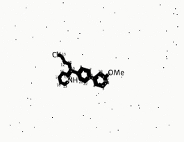 COc1cccc(-c2ccc(C(CCCCl)=C3CCCCN3)cc2)c1